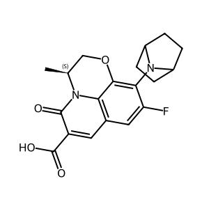 C[C@H]1COc2c(N3C4CCC3CC4)c(F)cc3cc(C(=O)O)c(=O)n1c23